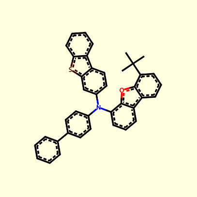 CC(C)(C)c1cccc2c1oc1c(N(c3ccc(-c4ccccc4)cc3)c3ccc4c(c3)sc3ccccc34)cccc12